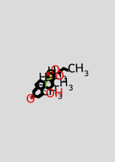 CCCC1O[C@@H]2C[C@H]3[C@@H]4CCC5=CC(=O)C=C[C@]5(C)[C@@]4(F)[C@@H](O)C[C@]3(C)[C@]2(SC)O1